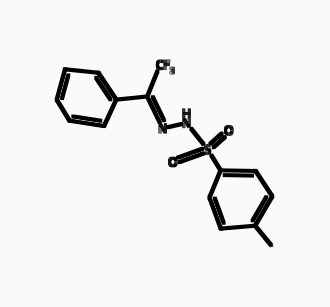 Cc1ccc(S(=O)(=O)N/N=C(/c2ccccc2)C(F)(F)F)cc1